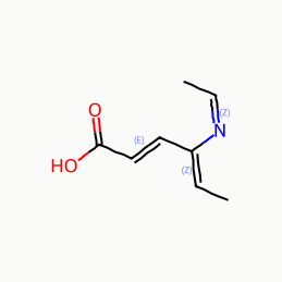 C\C=N/C(=C\C)/C=C/C(=O)O